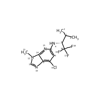 CC(C)[C@@H](Nc1cc(Cl)c2ncn(C)c2n1)C(F)(F)F